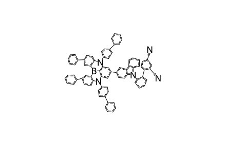 N#Cc1ccc(-c2ccccc2-n2c3ccccc3c3cc(-c4cc5c6c(c4)N(c4ccc(-c7ccccc7)cc4)c4ccc(-c7ccccc7)cc4B6c4cc(-c6ccccc6)ccc4N5c4ccc(-c5ccccc5)cc4)ccc32)c(C#N)c1